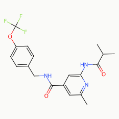 Cc1cc(C(=O)NCc2ccc(OC(F)(F)F)cc2)cc(NC(=O)C(C)C)n1